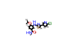 CNC(=O)c1ccc(OC(C)C)c(Nc2nc(-c3ccc(Cl)nc3)cs2)c1